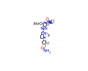 COc1cc(C(=O)N2CC3CCC2[C@@H]3N)cc2nc(-c3cc4ccc(-c5ccc(CC(N)=O)c(F)c5)nc4n3CC3CC3)n(C)c12